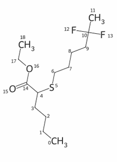 CCCCC(SCCCCC(C)(F)F)C(=O)OCC